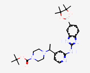 CC(c1ccnc(Nc2nc3ccc(B4OC(C)(C)C(C)(C)O4)cc3[nH]2)c1)N1CCN(C(=O)OC(C)(C)C)CC1